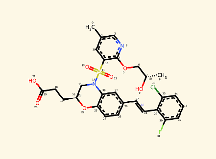 Cc1cnc(OC[C@H](C)O)c(S(=O)(=O)N2C[C@H](CCC(=O)O)Oc3ccc(/C=C/c4c(F)cccc4Cl)cc32)c1